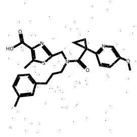 COc1ccc(C2(C(=O)N(CCCc3cccc(C)c3)Cc3nc(C(=O)O)c(C)s3)CC2)nc1